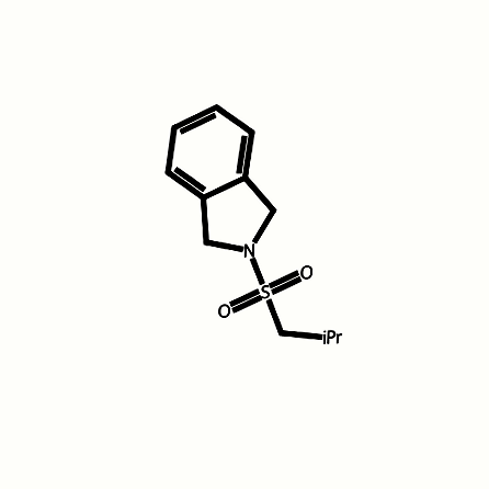 CC(C)CS(=O)(=O)N1Cc2ccccc2C1